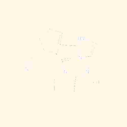 CNC1CCCCN1C(=O)C1(F)C(c2ncc[nH]2)=CC=CC1C#N